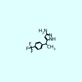 CC(c1ccc(C(F)(F)F)cc1)c1cc(N)n[nH]1